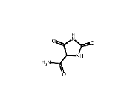 NC(=O)C1NC(=O)NC1=O